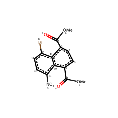 COC(=O)c1ccc(C(=O)OC)c2c([N+](=O)[O-])ccc(Br)c12